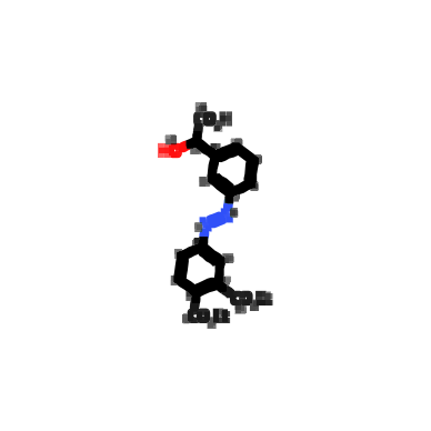 CCOC(=O)c1ccc(N=Nc2cccc(C(O)C(=O)O)c2)cc1C(=O)OCC